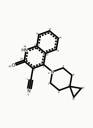 N#Cc1c(N2CCC3(CC2)CC3)c2ccccc2[nH]c1=O